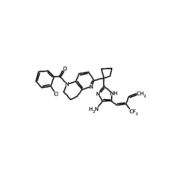 C=C/C(=C\c1[nH]c(C2(c3ccc4c(n3)CCCN4C(=O)c3ccccc3Cl)CCC2)nc1N)C(F)(F)F